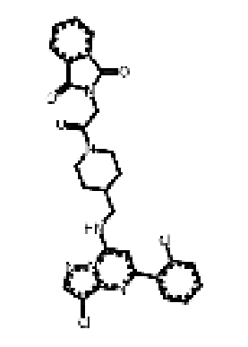 O=C(CN1C(=O)c2ccccc2C1=O)N1CCC(CNc2cc(-c3ccccc3Cl)nc3c(Cl)cnn23)CC1